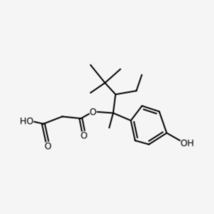 CCC(C(C)(C)C)C(C)(OC(=O)CC(=O)O)c1ccc(O)cc1